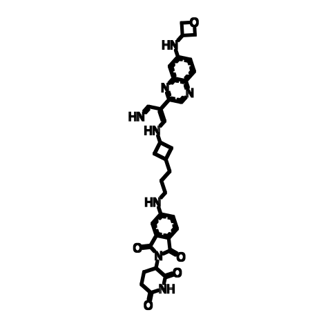 N=C/C(=C\NC1CC(CCCNc2ccc3c(c2)C(=O)N(C2CCC(=O)NC2=O)C3=O)C1)c1cnc2ccc(NC3COC3)cc2n1